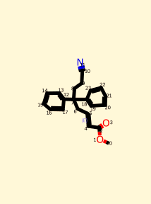 COC(=O)/C=C/CC(CCC#N)(c1ccccc1)c1ccccc1